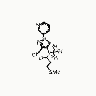 [2H]C([2H])([2H])N(C(=O)CCSC)c1cn(-c2cccnc2)nc1Cl